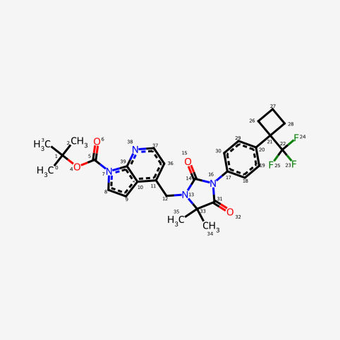 CC(C)(C)OC(=O)n1ccc2c(CN3C(=O)N(c4ccc(C5(C(F)(F)F)CCC5)cc4)C(=O)C3(C)C)ccnc21